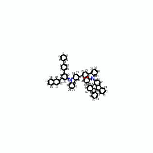 c1ccc(-c2ccc(-c3cc(-c4ccc5ccccc5c4)cc(-n4c5ccccc5c5cc(-c6ccc(-c7ccccc7N(c7ccccc7)c7ccc8c(c7)C(c7ccccc7)(c7ccccc7)c7ccccc7-8)cc6)ccc54)c3)cc2)cc1